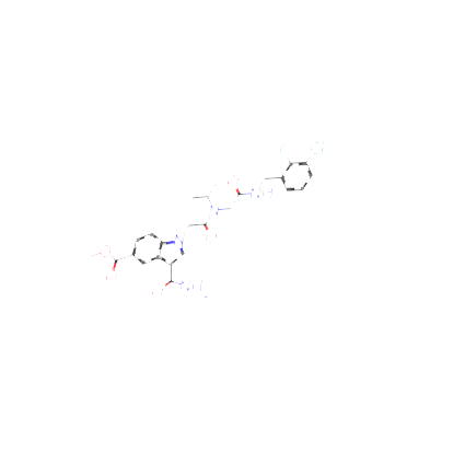 COC(=O)c1ccc2c(c1)c(C(N)=O)cn2CC(=O)N(CC(=O)NCc1cccc(Cl)c1F)C(C)C